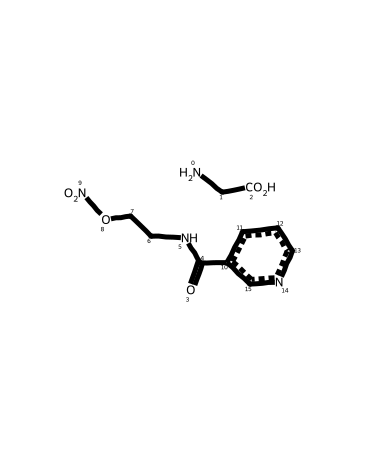 NCC(=O)O.O=C(NCCO[N+](=O)[O-])c1cccnc1